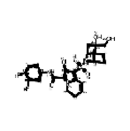 O=C(Nc1ccc(F)c(F)c1)c1c(Cl)c(S(=O)(=O)N2C3CCC34C2C[C@]4(O)CO)c2n1CCC=C2